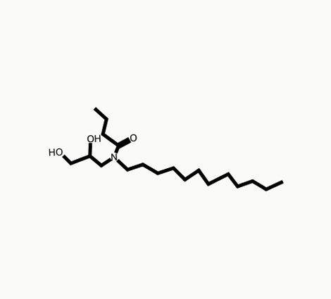 CCCCCCCCCCCCN(CC(O)CO)C(=O)CCC